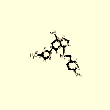 Cc1ccc(CNc2ncnc3c(O)cc(-c4ncc(C)s4)cc23)nn1